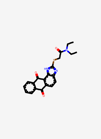 CCN(CC)C(=O)CSc1nc2ccc3c(c2[nH]1)C(=O)c1ccccc1C3=O